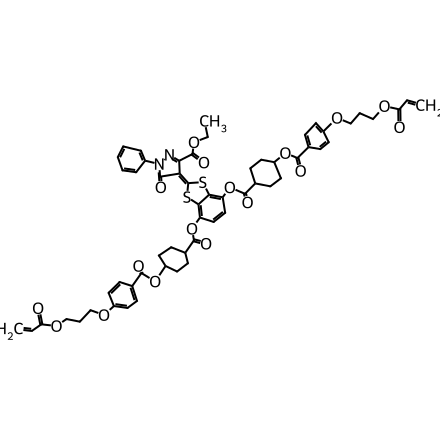 C=CC(=O)OCCCOc1ccc(C(=O)OC2CCC(C(=O)Oc3ccc(OC(=O)C4CCC(OC(=O)c5ccc(OCCCOC(=O)C=C)cc5)CC4)c4c3SC(=C3C(=O)N(c5ccccc5)N=C3C(=O)OCC)S4)CC2)cc1